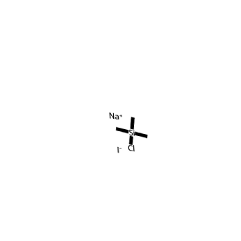 C[Si](C)(C)Cl.[I-].[Na+]